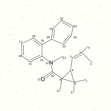 CC(C)=CC1C(C)(C)C1(C)C(=O)N(C)c1ccccc1-c1ccccc1